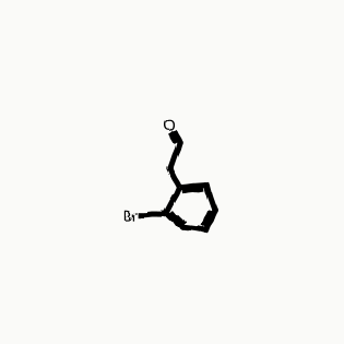 O=CCc1ccccc1Br